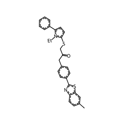 CCn1c(SCC(=O)Cc2ccc(-c3nc4ccc(C)cc4s3)cc2)ccc1-c1ccccc1